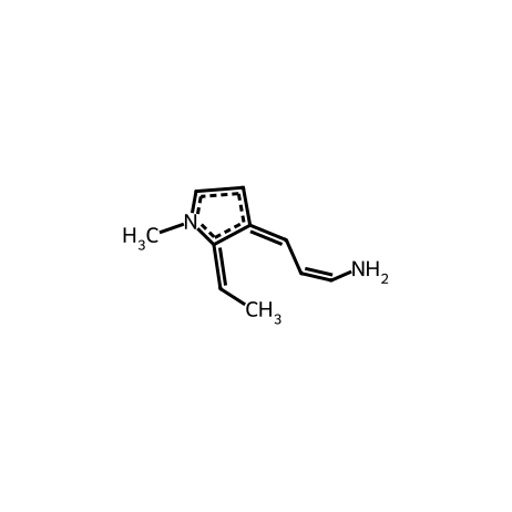 C\C=c1/c(=C\C=C/N)ccn1C